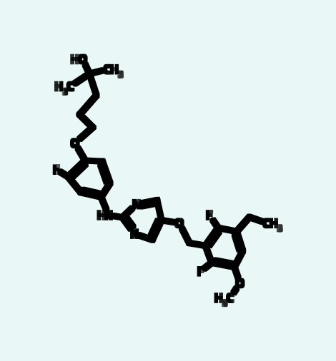 CCc1cc(OC)c(F)c(COc2cnc(Nc3ccc(OCCCC(C)(C)O)c(F)c3)nc2)c1F